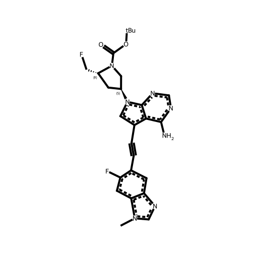 Cn1cnc2cc(C#Cc3cn([C@H]4C[C@H](CF)N(C(=O)OC(C)(C)C)C4)c4ncnc(N)c34)c(F)cc21